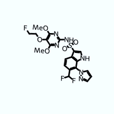 COc1nc(NS(=O)(=O)c2c[nH]c3c(-n4cccn4)c(C(F)F)ccc23)nc(OC)c1OCCF